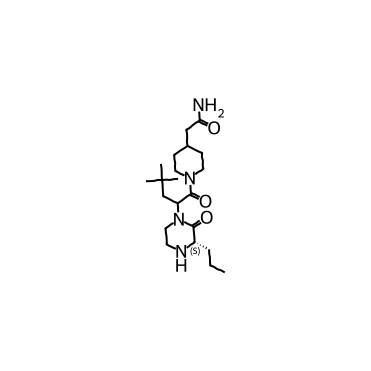 CCC[C@@H]1NCCN(C(CC(C)(C)C)C(=O)N2CCC(CC(N)=O)CC2)C1=O